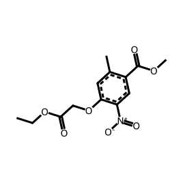 CCOC(=O)COc1cc(C)c(C(=O)OC)cc1[N+](=O)[O-]